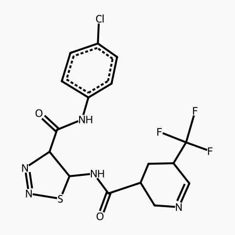 O=C(NC1SN=NC1C(=O)Nc1ccc(Cl)cc1)C1CN=CC(C(F)(F)F)C1